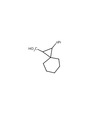 CCCC1C(C(=O)O)C12CCCCC2